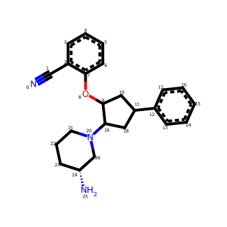 N#Cc1ccccc1OC1CC(c2ccccc2)CC1N1CCC[C@@H](N)C1